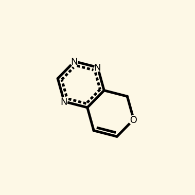 C1=Cc2ncnnc2CO1